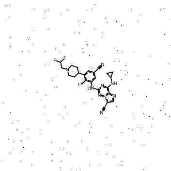 N#Cc1cc(Nc2nc(NC3CC3)c3ncc(C#N)n3n2)c(Cl)c(C2CCN(CC(F)F)CC2)c1